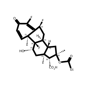 CCC(=O)O[C@]1(C)C[C@H]2[C@@H]3C[C@H](F)C4=C(F)C(=O)C=C[C@]4(C)[C@@]3(F)[C@@H](O)C[C@]2(C)[C@H]1C(=O)O